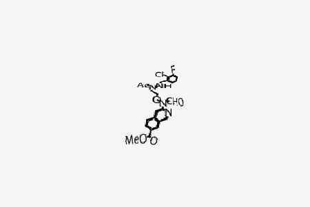 COC(=O)c1ccc2cc(N(C=O)OCCN(NCc3cccc(F)c3Cl)C(C)=O)ncc2c1